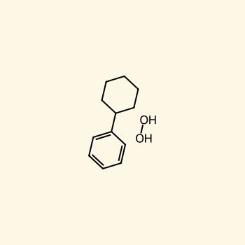 OO.c1ccc(C2CCCCC2)cc1